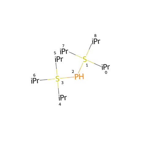 CC(C)S(PS(C(C)C)(C(C)C)C(C)C)(C(C)C)C(C)C